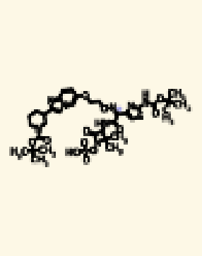 CC(C)(C)OC(=O)Nc1nc(/C(=N/OCCOc2ccc3nc(C4CCCN(C(=O)OC(C)(C)C)C4)cn3c2)C(=O)NC2C(=O)N(OS(=O)(=O)O)C2(C)C)cs1